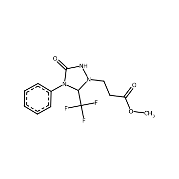 COC(=O)CCN1NC(=O)N(c2ccccc2)C1C(F)(F)F